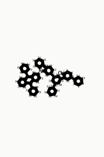 c1ccc(-c2ccc3oc4c(-c5ccc6c7ccccc7n(-c7ccc8c(-c9ccccc9)c9ccccc9c(-c9ccccc9)c8c7)c6c5)cc(-c5ccccc5)cc4c3c2)cc1